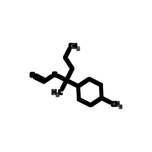 CCCC(C)(O[C]=O)C1CCC(C)CC1